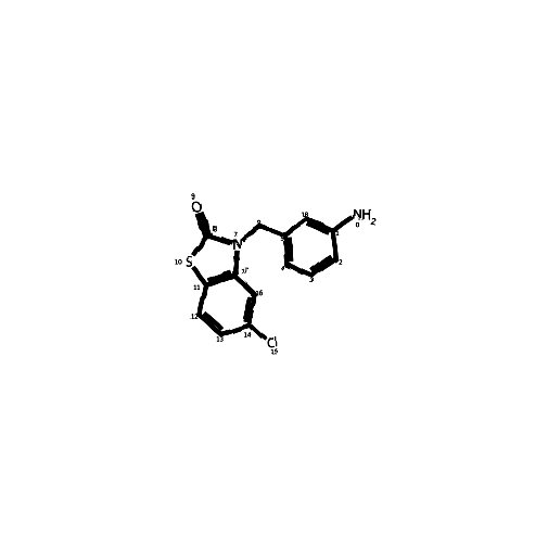 Nc1cccc(Cn2c(=O)sc3ccc(Cl)cc32)c1